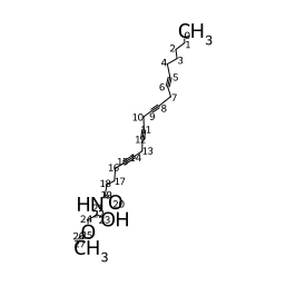 CCCCCC#CCC#CCC#CCC#CCCCC(=O)NC(O)COCC